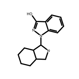 Oc1nn(C2[N]CC3CCCCC32)c2ccccc12